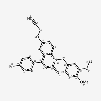 C#CCOc1ccc2c(c1)c(-c1ccc(C(C)C)cc1)nc(=O)n2Cc1ccc(OC)c(OCC)c1